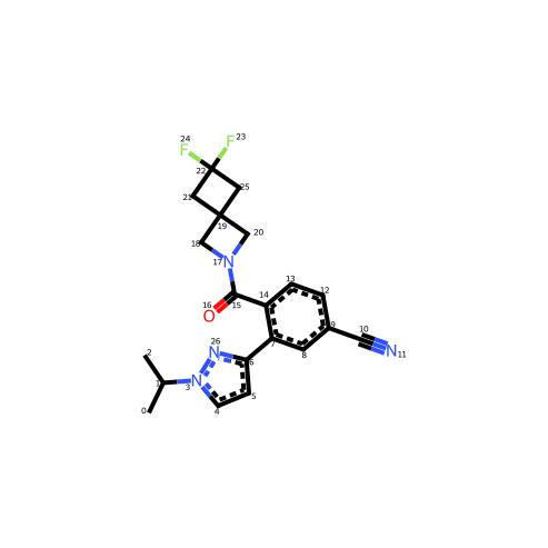 CC(C)n1ccc(-c2cc(C#N)ccc2C(=O)N2CC3(C2)CC(F)(F)C3)n1